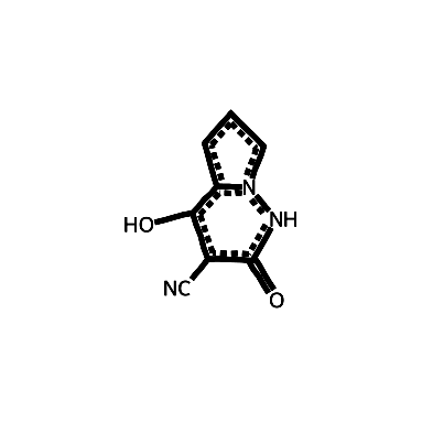 N#Cc1c(O)c2cccn2[nH]c1=O